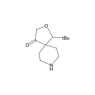 CC(C)(C)C1OCC(=O)C12CCNCC2